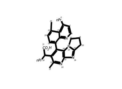 CCCc1ccnc2c(-c3c(C(CCC)C(=O)O)c(C)nc4nc5n(c34)CCC5)ccc(C)c12